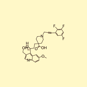 COc1ccc2ncc(CO)c([C@@H](O)CCC3(C(=O)O)CCN(CC#Cc4cc(F)cc(F)c4F)CC3)c2c1